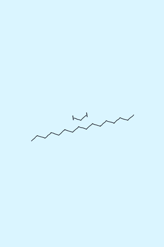 CCCCCCCCCCCCCCCC.ICI